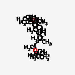 C[C@@H](CCC[C@@H](C)[C@H]1CC[C@H]2C3=CC=C4C(C)(C)[C@@H](O[Si](C)(C)C(C)(C)C)CC[C@]4(C)[C@H]3CC[C@]12C)CO[Si](C)(C)C(C)(C)C